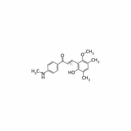 CNc1ccc(C(=O)/C=C/c2c(O)c(C)cc(C)c2OC)cc1